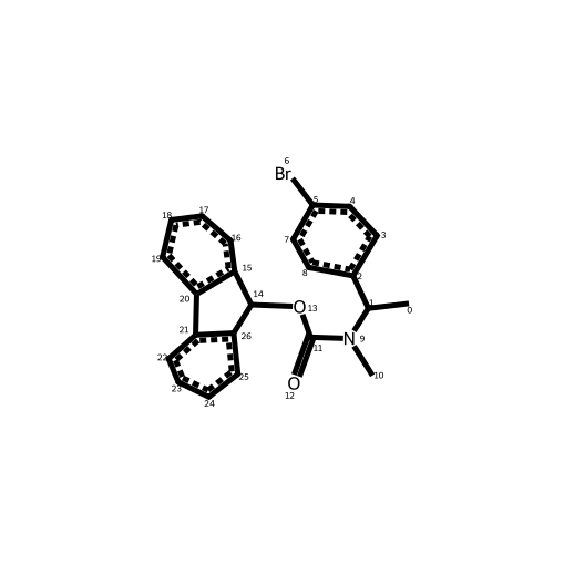 CC(c1ccc(Br)cc1)N(C)C(=O)OC1c2ccccc2-c2ccccc21